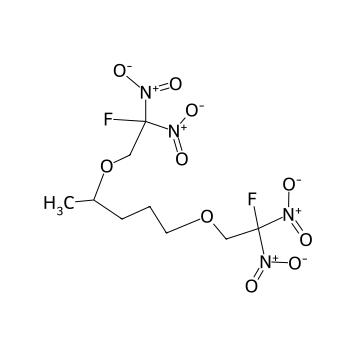 CC(CCCOCC(F)([N+](=O)[O-])[N+](=O)[O-])OCC(F)([N+](=O)[O-])[N+](=O)[O-]